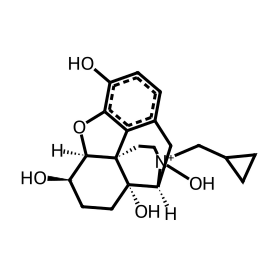 Oc1ccc2c3c1O[C@@H]1[C@H](O)CC[C@]4(O)[C@H](C2)[N+](O)(CC2CC2)CC[C@@]314